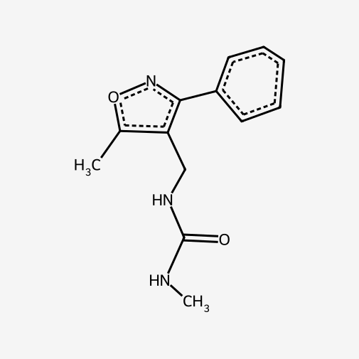 CNC(=O)NCc1c(-c2ccccc2)noc1C